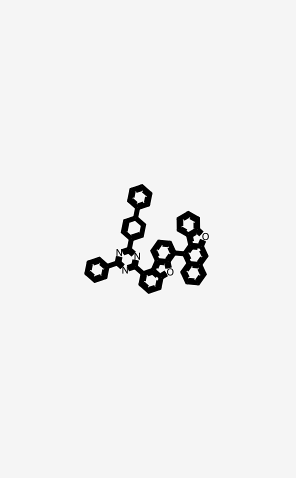 C1=CC(c2ccccc2)CC=C1c1nc(-c2ccccc2)nc(-c2cccc3oc4c(-c5c6ccccc6cc6oc7ccccc7c56)cccc4c23)n1